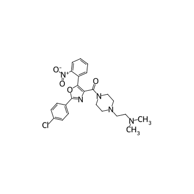 CN(C)CCN1CCN(C(=O)c2nc(-c3ccc(Cl)cc3)oc2-c2ccccc2[N+](=O)[O-])CC1